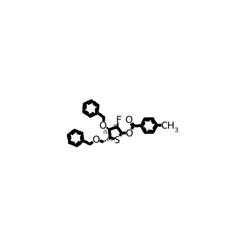 Cc1ccc(C(=O)OC2S[C@H](COCc3ccccc3)[C@@H](OCc3ccccc3)[C@H]2F)cc1